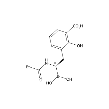 CCC(=O)N[C@@H](Cc1cccc(C(=O)O)c1O)B(O)O